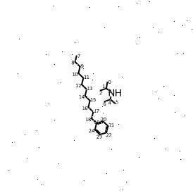 CC(C)NC(C)C.CCCCCCCCCCCCc1ccccc1